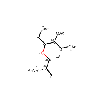 CC(=O)N[C@@H](C)[C@@H](C)OC(COC(C)=O)[C@@H](COC(C)=O)OC(C)=O